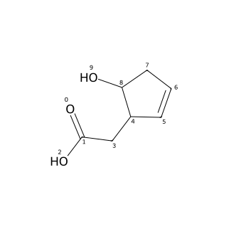 O=C(O)CC1C=CCC1O